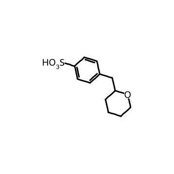 O=S(=O)(O)c1ccc(CC2CCCCO2)cc1